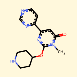 Cn1c(OC2CCNCC2)nc(-c2ccncn2)cc1=O